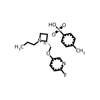 CCCN1CC[C@@H]1COc1ccc(F)nc1.Cc1ccc(S(=O)(=O)O)cc1